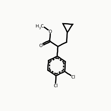 COC(=O)C(CC1CC1)c1ccc(Cl)c(Cl)c1